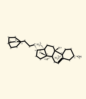 C[C@]12CC[C@H]3[C@@H](CC=C4C[C@@H](O)CC[C@@]43C)[C@@H]1CC[C@@H]2CCCC12CCC(CC1)CC2